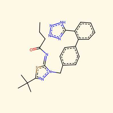 CCCC(=O)N=c1sc(C(C)(C)C)nn1Cc1ccc(-c2ccccc2-c2nnn[nH]2)cc1